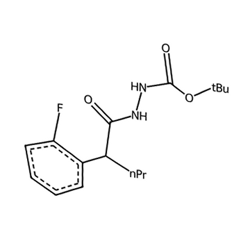 CCCC(C(=O)NNC(=O)OC(C)(C)C)c1ccccc1F